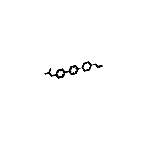 C=CC[C@H]1CC[C@H](c2ccc(-c3ccc(CC(C)C)cc3)cc2)CC1